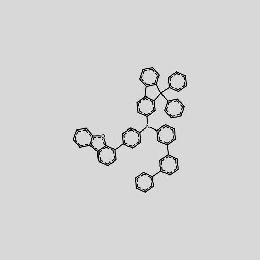 c1ccc(-c2cccc(-c3cccc(N(c4ccc(-c5cccc6c5oc5ccccc56)cc4)c4ccc5c(c4)C(c4ccccc4)(c4ccccc4)c4ccccc4-5)c3)c2)cc1